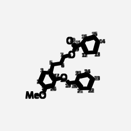 COc1ccc(CCCOC(=O)c2ccccc2)c(OCc2ccccc2)c1